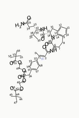 C/C(=C\C(=O)N[C@H]1CCc2cccc3c2N(C1=O)[C@H](C(=O)N[C@@H](CCC(N)=O)C(C)C)C3)c1ccc(CP(=O)(OCOC(=O)C(C)(C)C)OCOC(=O)C(C)(C)C)cc1